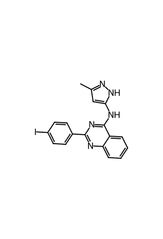 Cc1cc(Nc2nc(-c3ccc(I)cc3)nc3ccccc23)[nH]n1